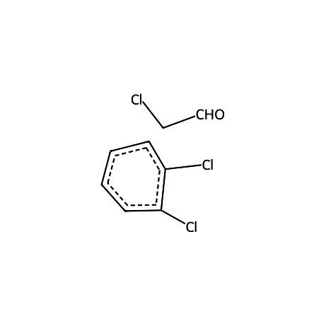 Clc1ccccc1Cl.O=CCCl